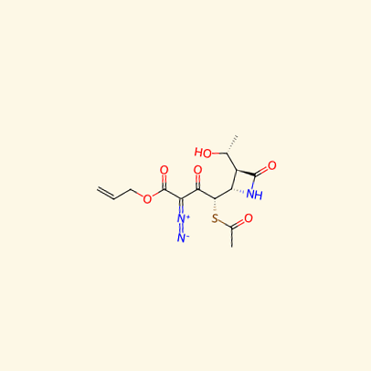 C=CCOC(=O)C(=[N+]=[N-])C(=O)[C@@H](SC(C)=O)[C@H]1NC(=O)[C@@H]1[C@@H](C)O